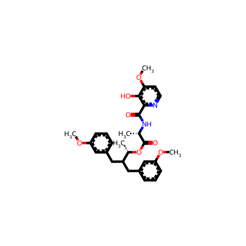 COc1cccc(CC(Cc2cccc(OC)c2)[C@H](C)OC(=O)[C@H](C)NC(=O)c2nccc(OC)c2O)c1